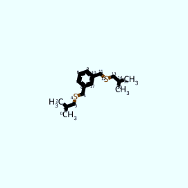 CC(C)CSCc1cccc(CSCC(C)C)c1